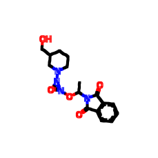 CC(On1on1N1CCCC(CO)C1)N1C(=O)c2ccccc2C1=O